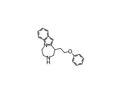 c1ccc(OCCC2CNCCn3c2cc2ccccc23)cc1